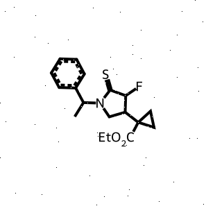 CCOC(=O)C1(C2CN(C(C)c3ccccc3)C(=S)C2F)CC1